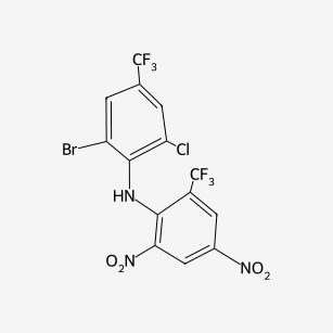 O=[N+]([O-])c1cc([N+](=O)[O-])c(Nc2c(Cl)cc(C(F)(F)F)cc2Br)c(C(F)(F)F)c1